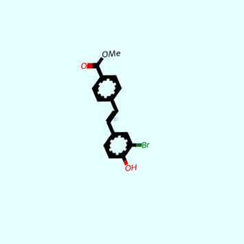 COC(=O)c1ccc(/C=C/c2ccc(O)c(Br)c2)cc1